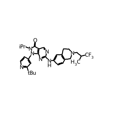 CC(C)n1c(=O)c2cnc(Nc3ccc4c(c3)CCN(CC(C)C(F)(F)F)C4)nc2n1-c1ccnc(C(C)(C)C)c1